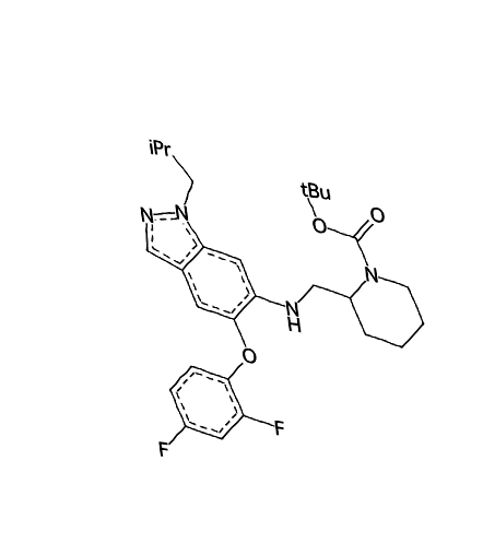 CC(C)Cn1ncc2cc(Oc3ccc(F)cc3F)c(NCC3CCCCN3C(=O)OC(C)(C)C)cc21